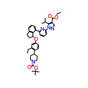 CCOC(=O)c1cnn(-c2cccc(-c3cccc4c3C(Oc3ccc(C5CCN(C(=O)OC(C)(C)C)CC5)c(CC)c3)CC4)n2)c1C(C)C